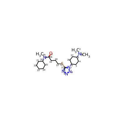 CN(C)C1CCC(n2nnnc2SCCCC(=O)N(C)C2CCCCC2)CC1